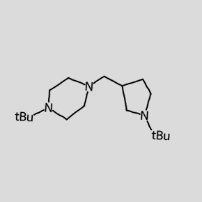 CC(C)(C)N1CCN(CC2CCN(C(C)(C)C)C2)CC1